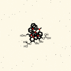 CCCCCCCCCCCCCC(c1cc(C(C)(C)C)c(OP(O)O)cc1C)(c1cc(C(C)(C)C)c(OP(O)O)cc1C)C(c1ccccc1C(C)c1ccccc1)(c1ccccc1C(C)c1ccccc1)C(C)c1ccccc1C(C)c1ccccc1